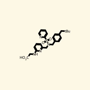 CC(C)(C)Cc1ccc(CN(Cc2cccc(NCC(=O)O)n2)S(=O)(=O)c2ccccn2)cc1